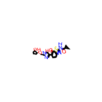 O=C(Nc1nc2ccc(-c3cnc(CO[C@H]4CCC[C@@H]4O)nc3)c(O)c2s1)C1CC1